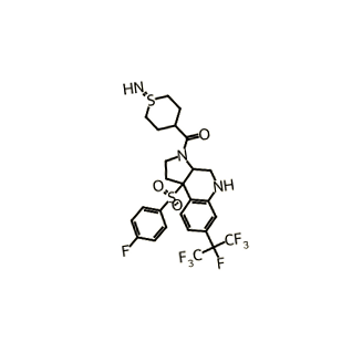 N=S1CCC(C(=O)N2CCC3(S(=O)(=O)c4ccc(F)cc4)c4ccc(C(F)(C(F)(F)F)C(F)(F)F)cc4NCC23)CC1